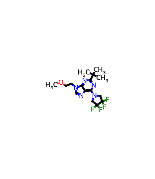 COCCn1cnc2c(N3CC(F)(F)C(F)(F)C3)nc(C(C)(C)C)nc21